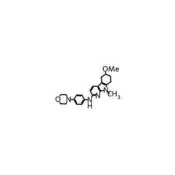 COC1CCc2c(c3ccc(Nc4ccc(N5CCOCC5)cc4)nc3n2C)C1